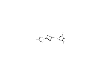 Cc1c(F)cc(OCc2ccc(C3CCC(C)CO3)cc2)cc1F